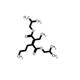 CCCCC(C(=O)OCC(C)C)=C(CC)C(=O)OCC(C)C